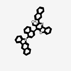 CCc1c(-c2ccc3ccccc3c2)nc2c(oc3ccccc32)c1-c1ccc(-n2c3ccccc3c3cc4ccccc4cc32)c2ccccc12